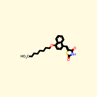 O=C(O)CCCCCCCOc1ccc(/C=C2\SC(=O)NC2=O)c2ccccc12